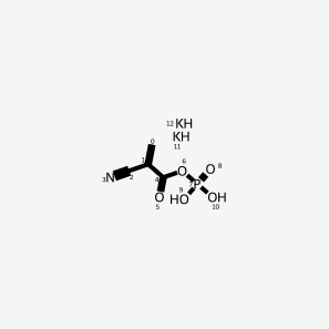 C=C(C#N)C(=O)OP(=O)(O)O.[KH].[KH]